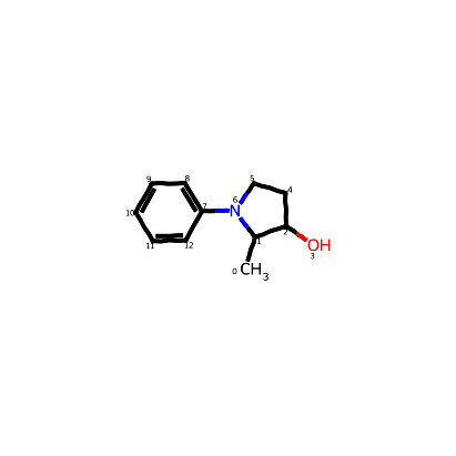 CC1C(O)CCN1c1ccccc1